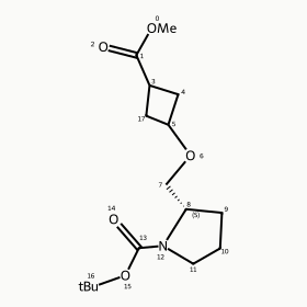 COC(=O)C1CC(OC[C@@H]2CCCN2C(=O)OC(C)(C)C)C1